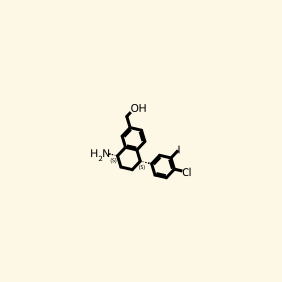 N[C@H]1CC[C@@H](c2ccc(Cl)c(I)c2)c2ccc(CO)cc21